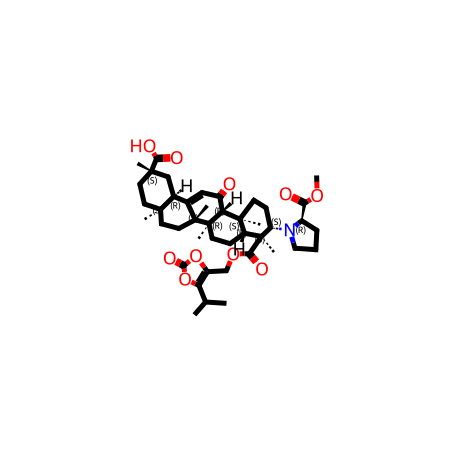 COC(=O)[C@H]1CCCN1[C@H]1CC[C@@]2(C)[C@@H](CC[C@]3(C)[C@@H]2C(=O)C=C2[C@@H]4C[C@@](C)(C(=O)O)CC[C@]4(C)CC[C@]23C)[C@]1(C)C(=O)OCc1oc(=O)oc1C(C)C